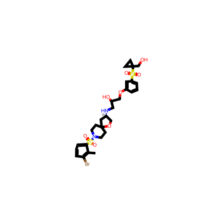 Cc1c(Br)cccc1S(=O)(=O)N1CCC2(CC1)C[C@H](NCC(O)COc1cccc(S(=O)(=O)C3(CO)CC3)c1)CO2